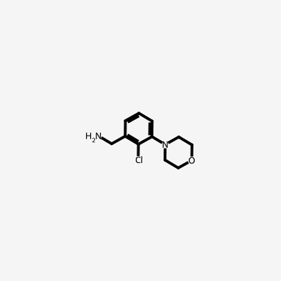 NCc1cccc(N2CCOCC2)c1Cl